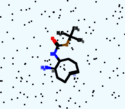 CC(C)(C)SC(=O)NC1CC/C=C/CC[C@H]1N